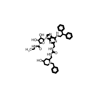 CCNC(=O)[C@H]1O[C@@H](n2cnc3c(NCC(c4ccccc4)c4ccccc4)nc(CNC(=O)NCC4CC(O)CCN4Cc4ccccc4)nc32)[C@H](O)[C@@H]1O